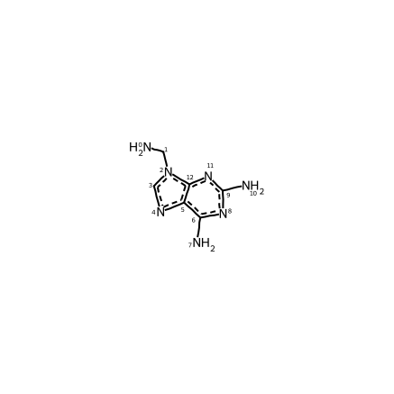 NCn1cnc2c(N)nc(N)nc21